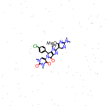 COc1nc(N(C)C)ncc1-c1nc2c(n1C(C)C)C(c1ccc(Cl)cc1)N(c1cn(C)c(=O)n(C)c1=O)C2=O